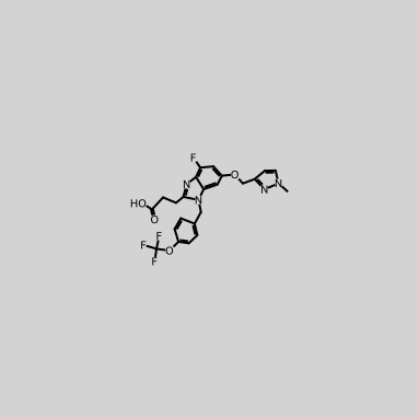 Cn1ccc(COc2cc(F)c3nc(CCC(=O)O)n(Cc4ccc(OC(F)(F)F)cc4)c3c2)n1